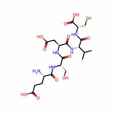 CC(C)[C@H](NC(=O)[C@H](CC(=O)O)NC(=O)[C@H](CO)NC(=O)[C@@H](N)CCC(=O)O)C(=O)N[C@@H](CS)C(=O)O